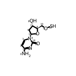 Nc1ccn([C@H]2C[C@H](O)[C@@H](COS)O2)c(=O)n1